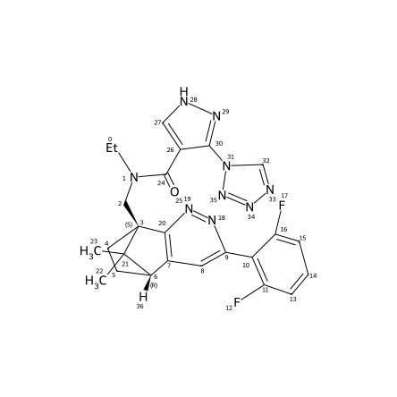 CCN(C[C@@]12CC[C@@H](c3cc(-c4c(F)cccc4F)nnc31)C2(C)C)C(=O)c1c[nH]nc1-n1cnnn1